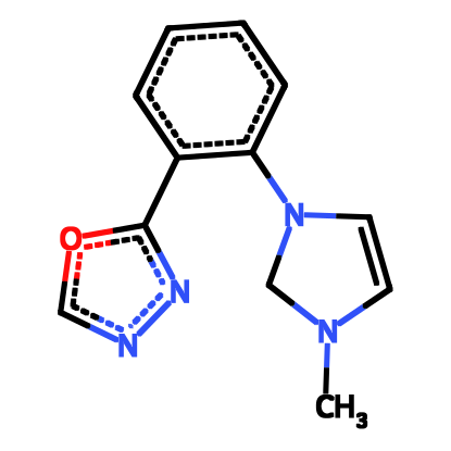 CN1C=CN(c2ccccc2-c2nnco2)C1